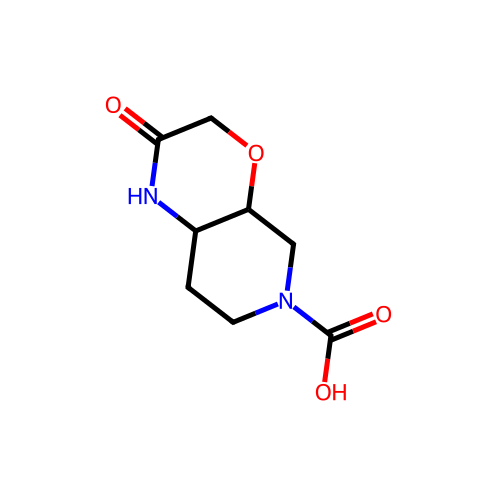 O=C1COC2CN(C(=O)O)CCC2N1